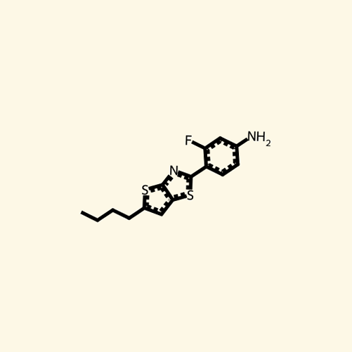 CCCCc1cc2sc(-c3ccc(N)cc3F)nc2s1